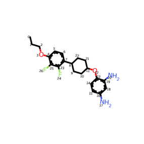 CCCOc1ccc(C2CCC(Oc3ccc(N)cc3N)CC2)c(F)c1F